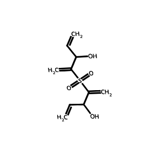 C=CC(O)C(=C)S(=O)(=O)C(=C)C(O)C=C